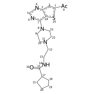 CC(=O)c1cc2ncnc(N3CCN(CCNC(=O)C4CCCC4)CC3)c2s1